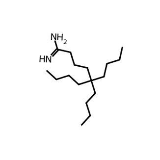 CCCCC(CCCC)(CCCC)CCCC(=N)N